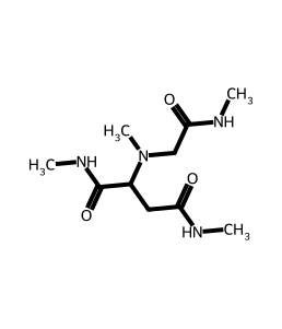 CNC(=O)CC(C(=O)NC)N(C)CC(=O)NC